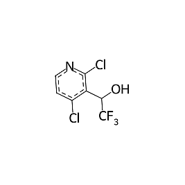 OC(c1c(Cl)ccnc1Cl)C(F)(F)F